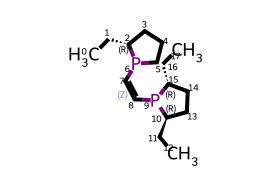 CC[C@@H]1CCCP1/C=C\P1[C@H](CC)CC[C@H]1CC